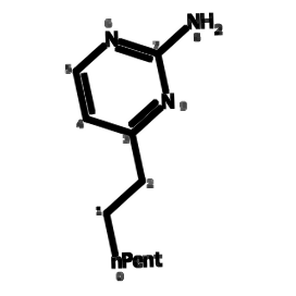 CCCCCCCc1ccnc(N)n1